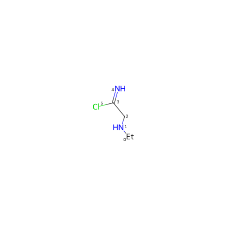 CCNCC(=N)Cl